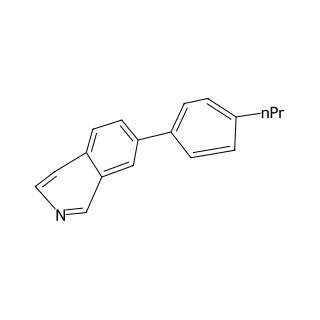 CCCc1ccc(-c2ccc3ccncc3c2)cc1